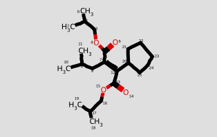 CC(C)COC(=O)C(CC(C)C)=C(C(=O)OCC(C)C)C1CCCCC1